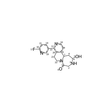 O=C1CNC(O)CC2c3ccnc(-c4ccc(F)nc4)c3CCN12